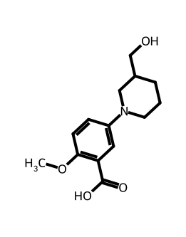 COc1ccc(N2CCCC(CO)C2)cc1C(=O)O